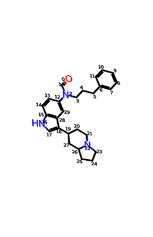 O=CN(CCCc1ccccc1)c1ccc2[nH]cc(C3CCN4CCCC4C3)c2c1